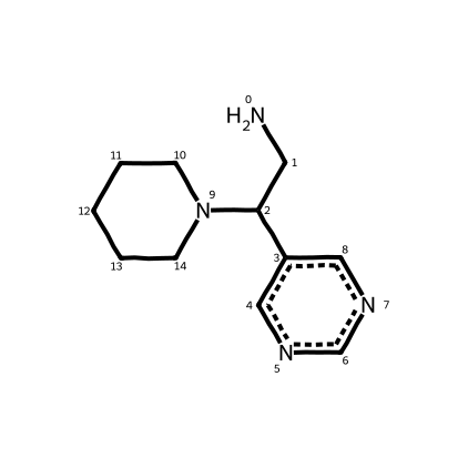 NCC(c1cncnc1)N1CCCCC1